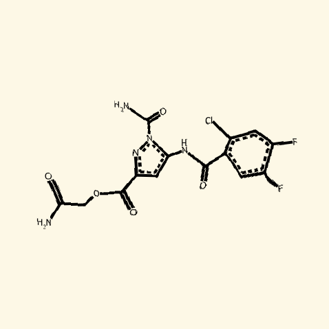 NC(=O)COC(=O)c1cc(NC(=O)c2cc(F)c(F)cc2Cl)n(C(N)=O)n1